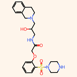 O=C(COc1ccccc1S(=O)(=O)N1CCNCC1)NCC(O)CN1CCc2ccccc2C1